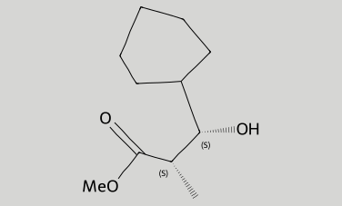 COC(=O)[C@@H](C)[C@@H](O)C1CCCCC1